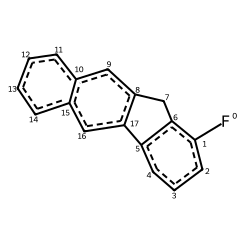 Fc1cccc2c1Cc1cc3ccccc3cc1-2